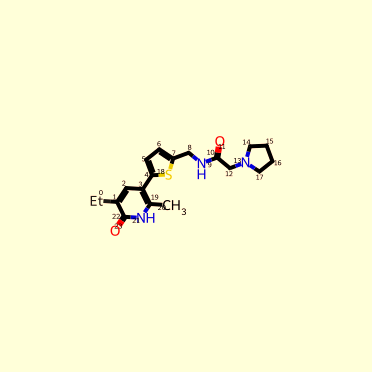 CCc1cc(-c2ccc(CNC(=O)CN3CCCC3)s2)c(C)[nH]c1=O